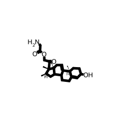 C[C@@H]1CC2C3CCC4=CC(O)CC[C@]4(C)C3=CC[C@]2(C)[C@@]1(C)C(=O)COC(=O)CN